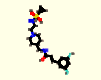 O=C(/C=C/c1cc(F)cc(F)c1)NCC1CCN(CCNS(=O)(=O)C2CC2)CC1